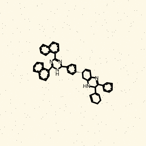 C1=CC(C2NC3=C(C=C[C@@H](c4ccc(C5N=C(c6cccc7ccccc67)N=C(c6cccc7ccccc67)N5)cc4)C3)N=C2c2ccccc2)=CCC1